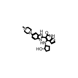 CN1CCN(c2ccc3nc(-c4c(N[C@H]5CCC[C@@H]5O)c5ccsc5[nH]c4=O)[nH]c3c2)CC1